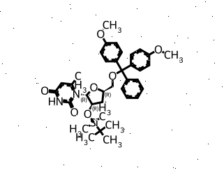 COc1ccc(C(OC[C@H]2[CH][C@@H](O[Si](C)(C)C(C)(C)C)[C@H](n3c(C)cc(=O)[nH]c3=O)O2)(c2ccccc2)c2ccc(OC)cc2)cc1